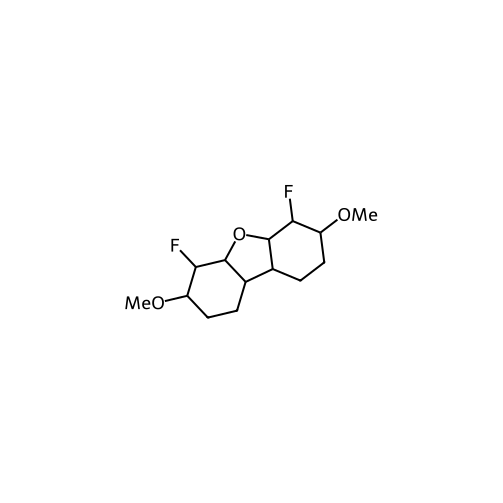 COC1CCC2C3CCC(OC)C(F)C3OC2C1F